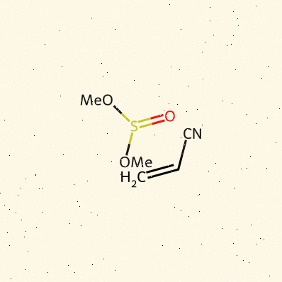 C=CC#N.COS(=O)OC